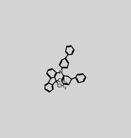 CC1(C)c2ccccc2-c2cccc(N(C3=CC=CC(c4ccccc4)C3)c3ccc(-c4ccccc4)cc3)c21